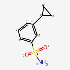 NS(=O)(=O)c1cccc(C2CC2)c1